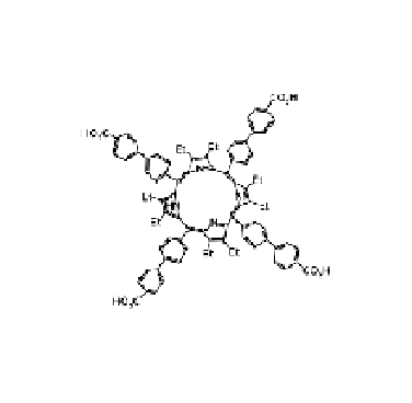 CCC1=C(CC)c2nc1c(-c1ccc(-c3ccc(C(=O)O)cc3)cc1)c1[nH]c(c(CC)c1CC)c(-c1ccc(-c3ccc(C(=O)O)cc3)cc1)c1nc(c(-c3ccc(-c4ccc(C(=O)O)cc4)cc3)c3[nH]c(c(CC)c3CC)c2-c2ccc(-c3ccc(C(=O)O)cc3)cc2)C(CC)=C1CC